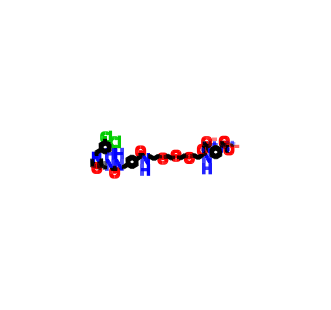 O=C(NCc1ccc(C(=O)NCCCOCCOCCOCCCNc2ccc([N+](=O)[O-])cc2[N+](=O)[O-])cc1)NC[C@@H]1CN(Cc2ccc(Cl)c(Cl)c2)CCO1